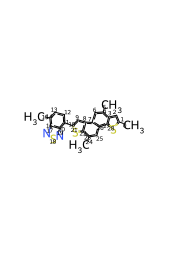 Cc1cc2c(C)cc3c4cc(-c5ccc(C)c6nsnc56)sc4c(C)cc3c2s1